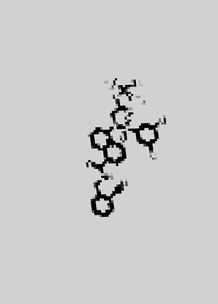 CC(C)(C)OC(=O)CN(c1cccc2c(C(=O)NCc3ccccc3C#N)cccc12)S(=O)(=O)c1cc(Cl)cc(Cl)c1